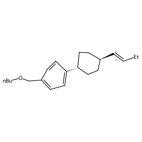 CC/C=C/[C@H]1CC[C@H](c2ccc(COCCCC)cc2)CC1